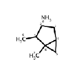 CC1CCC2CC12C.N